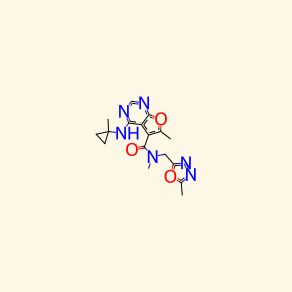 Cc1nnc(CN(C)C(=O)c2c(C)oc3ncnc(NC4(C)CC4)c23)o1